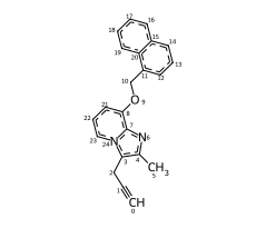 C#CCc1c(C)nc2c(OCc3cccc4ccccc34)cccn12